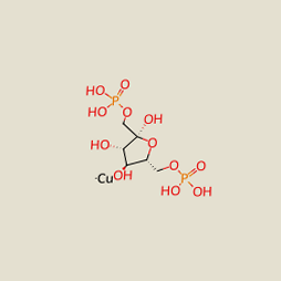 O=P(O)(O)OC[C@H]1O[C@](O)(COP(=O)(O)O)[C@@H](O)[C@@H]1O.[Cu]